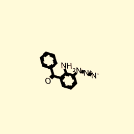 [N-]=[N+]=Nc1cccc(C(=O)c2ccccc2)c1N